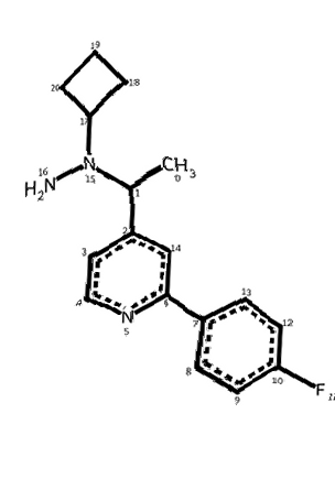 CC(c1ccnc(-c2ccc(F)cc2)c1)N(N)C1CCC1